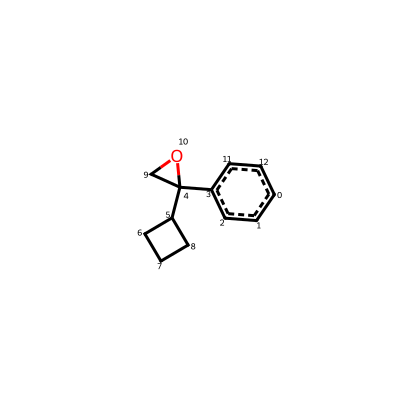 c1ccc(C2(C3CCC3)CO2)cc1